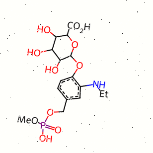 CCNc1cc(COP(=O)(O)OC)ccc1OC1OC(C(=O)O)C(O)C(O)C1O